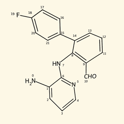 Nc1cccnc1Nc1c(C=O)cccc1-c1ccc(F)cc1